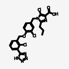 CCCc1nc(C(=O)O)c(Cl)n1Cc1ccc(OCc2cccc(-c3nnn[nH]3)c2Cl)c(Cl)c1